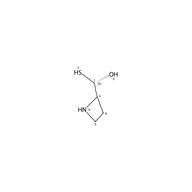 O[C@@H](S)C1CCN1